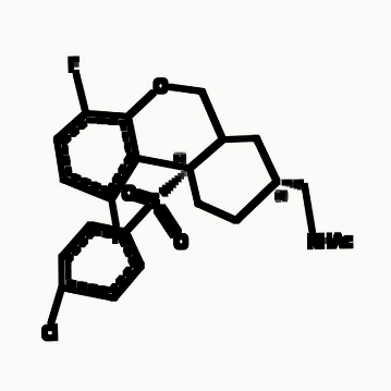 CC(=O)NC[C@@H]1CC[C@@]2(S(=O)(=O)c3ccc(Cl)cc3)c3c(F)ccc(F)c3OCC2C1